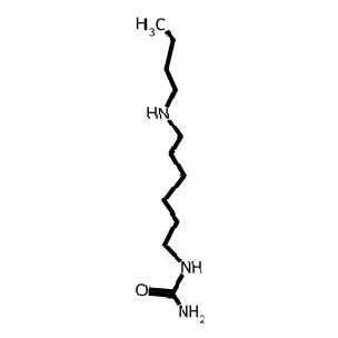 CCCCNCCCCCCNC(N)=O